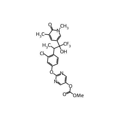 COC(=O)Oc1cnc(Oc2ccc(C(C)C(O)(c3cc(C)c(=O)n(C)c3)C(F)(F)F)c(Cl)c2)nc1